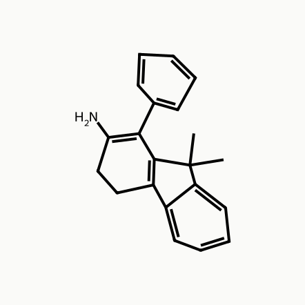 CC1(C)C2=C(CCC(N)=C2c2ccccc2)c2ccccc21